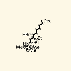 Br.CCCCCCCCCCCCCCCCC(CCN[Si](OC)(OC)OC)N(CC)CC